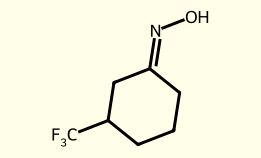 ON=C1CCCC(C(F)(F)F)C1